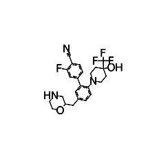 N#Cc1ccc(-c2cc(CC3CNCCO3)ccc2N2CCC(O)(C(F)(F)F)CC2)cc1F